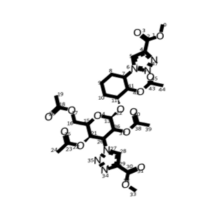 COC(=O)c1cn(C2CCC[C@@H](O[C@@H]3OC(COC(C)=O)[C@H](OC(C)=O)C(n4cc(C(=O)OC)nn4)C3OC(C)=O)C2OC(C)=O)nn1